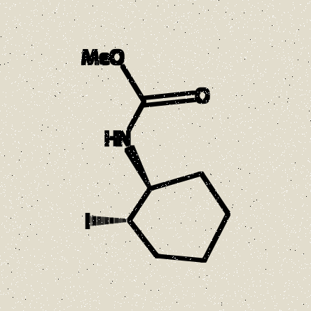 COC(=O)N[C@H]1CCCC[C@@H]1I